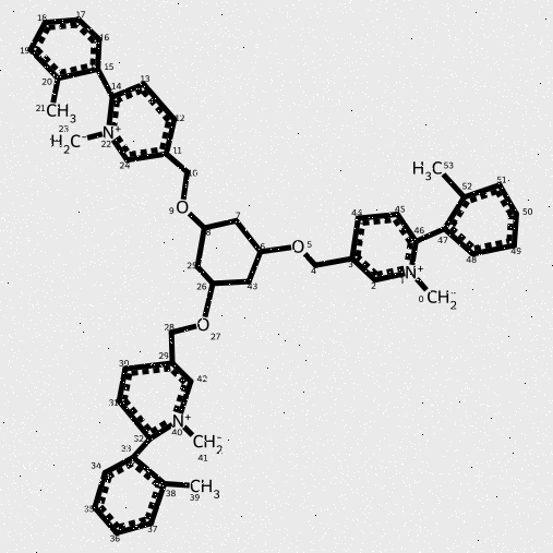 [CH2-][n+]1cc(COC2CC(OCc3ccc(-c4ccccc4C)[n+]([CH2-])c3)CC(OCc3ccc(-c4ccccc4C)[n+]([CH2-])c3)C2)ccc1-c1ccccc1C